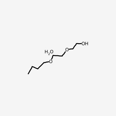 CCCCOCCOCCO.O